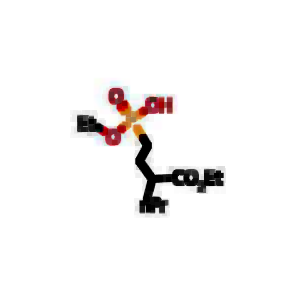 CCCC(CCP(=O)(O)OCC)C(=O)OCC